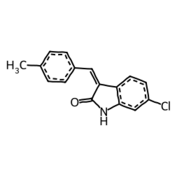 Cc1ccc(C=C2C(=O)Nc3cc(Cl)ccc32)cc1